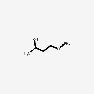 C[C@@H](O)CCOP